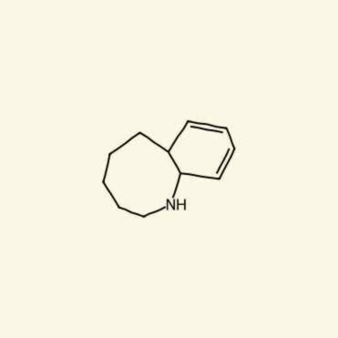 C1=CC2CCCCCNC2C=C1